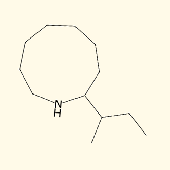 CCC(C)C1CCCCCCCN1